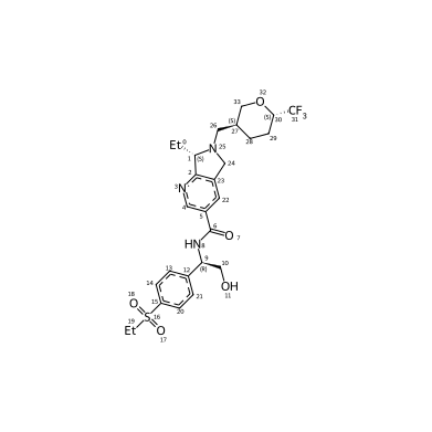 CC[C@H]1c2ncc(C(=O)N[C@@H](CO)c3ccc(S(=O)(=O)CC)cc3)cc2CN1C[C@@H]1CC[C@@H](C(F)(F)F)OC1